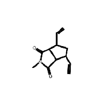 C=CC1CC(C=C)C2C(=O)N(C)C(=O)C12